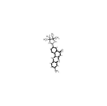 CC1(C)OB(c2ccc3c4nc5ccc(N)cc5oc-4cc(=O)c3c2)OC1(C)C